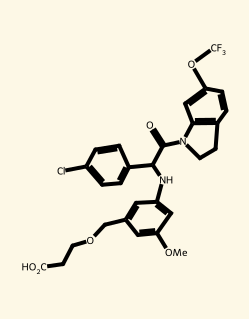 COc1cc(COCCC(=O)O)cc(NC(C(=O)N2CCc3ccc(OC(F)(F)F)cc32)c2ccc(Cl)cc2)c1